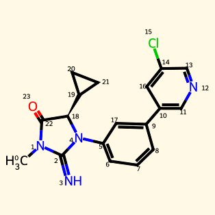 CN1C(=N)N(c2cccc(-c3cncc(Cl)c3)c2)[C@H](C2CC2)C1=O